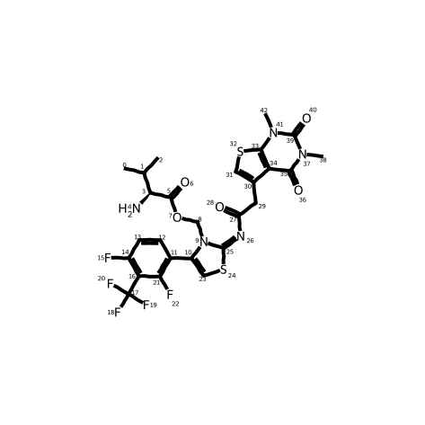 CC(C)[C@H](N)C(=O)OCn1c(-c2ccc(F)c(C(F)(F)F)c2F)csc1=NC(=O)Cc1csc2c1c(=O)n(C)c(=O)n2C